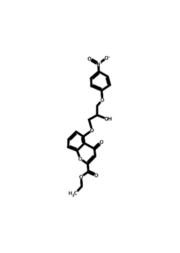 CCOC(=O)c1cc(=O)c2c(OCC(O)COc3ccc([N+](=O)[O-])cc3)cccc2o1